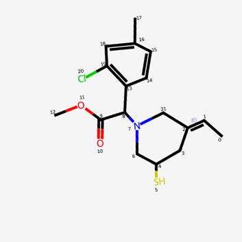 C/C=C1\CC(S)CN(C(C(=O)OC)c2ccc(C)cc2Cl)C1